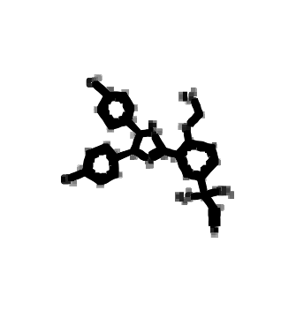 CCOc1ccc(C(C)(C)C#N)cc1C1=N[C@@H](c2ccc(Cl)cc2)[C@@H](c2ccc(Cl)cc2)N1